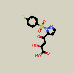 O=C(O)C(O)=CC(=O)c1ccnn1S(=O)(=O)c1ccc(F)cc1